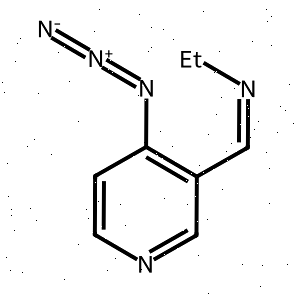 CC/N=C\c1cnccc1N=[N+]=[N-]